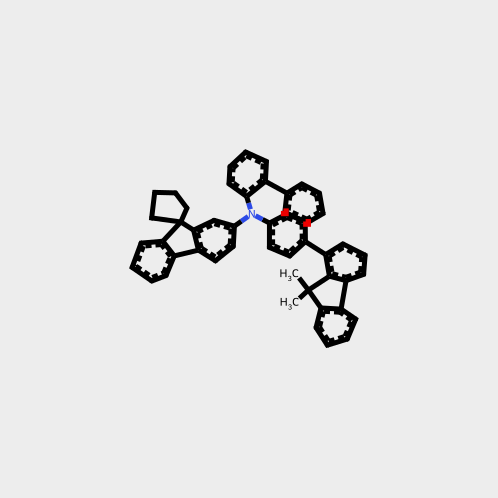 CC1(C)c2ccccc2-c2cccc(-c3ccc(N(c4ccc5c(c4)C4(CCCC4)c4ccccc4-5)c4ccccc4-c4ccccc4)cc3)c21